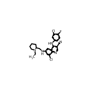 CCN1CCCCC1CNc1cc(Cl)c2ncc(C#N)c(Nc3ccc(F)c(Cl)c3)c2c1